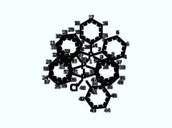 CP(c1ccccc1)(c1ccccc1)(c1ccccc1)P(c1ccccc1)(c1ccccc1)(c1ccccc1)P(Cl)(c1ccccc1)(c1ccccc1)c1ccccc1